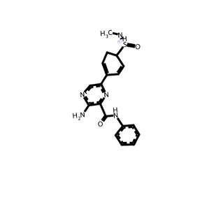 C/N=[SH](=O)\C1C=CC(c2cnc(N)c(C(=O)Nc3ccccc3)n2)=CC1